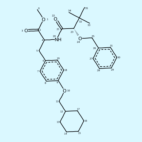 COC(=O)C(Cc1ccc(OCC2CCCCC2)cc1)NC(=O)[C@@H](OCc1ccccc1)C(C)(C)C